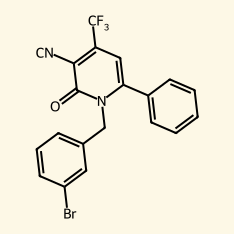 [C-]#[N+]c1c(C(F)(F)F)cc(-c2ccccc2)n(Cc2cccc(Br)c2)c1=O